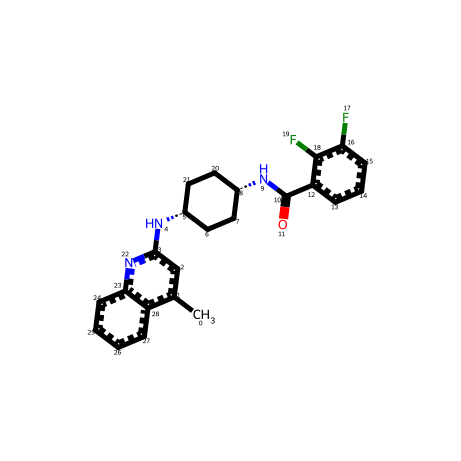 Cc1cc(N[C@H]2CC[C@@H](NC(=O)c3cccc(F)c3F)CC2)nc2ccccc12